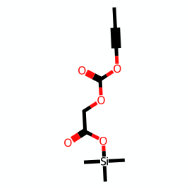 CC#COC(=O)OCC(=O)O[Si](C)(C)C